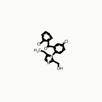 CCc1cnc(CO)n1-c1ccc(Cl)cc1C(=O)c1ccccc1Cl